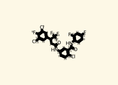 O=C(CC(c1cc(Cl)c(F)c(Cl)c1)C(F)(F)F)Nc1ccc(Cl)c(C(=O)Nc2ccc(F)cc2F)c1